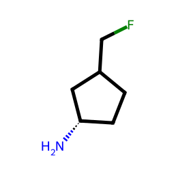 N[C@H]1CCC(CF)C1